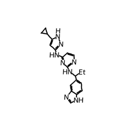 CCC(Nc1nccc(Nc2cc(C3CC3)[nH]n2)n1)c1ccc2[nH]cnc2c1